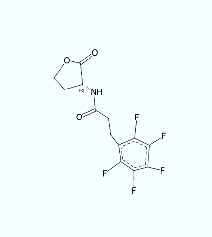 O=C(CCc1c(F)c(F)c(F)c(F)c1F)N[C@@H]1CCOC1=O